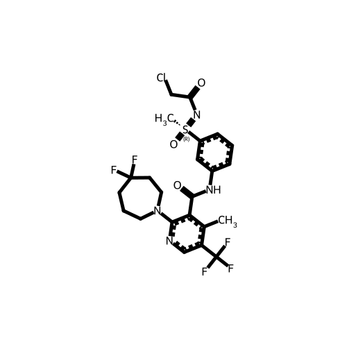 Cc1c(C(F)(F)F)cnc(N2CCCC(F)(F)CC2)c1C(=O)Nc1cccc([S@@](C)(=O)=NC(=O)CCl)c1